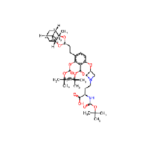 CC(C)(C)OC(=O)NC(CCN1CC(Oc2ccc(CCB3O[C@@H]4C[C@@H]5C[C@@H](C5(C)C)[C@]4(C)O3)c(OC(=O)OC(C)(C)C)c2C(=O)OC(C)(C)C)C1)C(=O)O